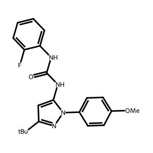 COc1ccc(-n2nc(C(C)(C)C)cc2NC(=O)Nc2ccccc2F)cc1